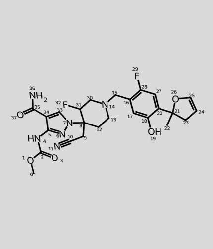 COC(=O)Nc1nn(C2(CC#N)CCN(Cc3cc(O)c(C4(C)CC=CO4)cc3F)CC2F)cc1C(N)=O